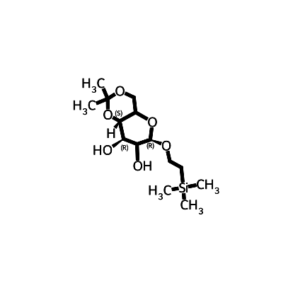 CC1(C)OCC2O[C@@H](OCC[Si](C)(C)C)C(O)[C@@H](O)[C@@H]2O1